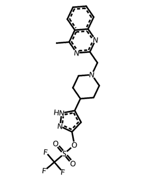 Cc1nc(CN2CCC(c3cc(OS(=O)(=O)C(F)(F)F)n[nH]3)CC2)nc2ccccc12